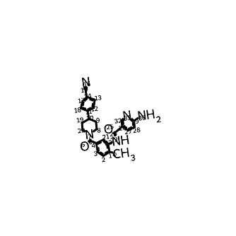 Cc1ccc(C(=O)N2CCC(c3ccc(C#N)cc3)CC2)cc1NC(=O)c1ccc(N)nc1